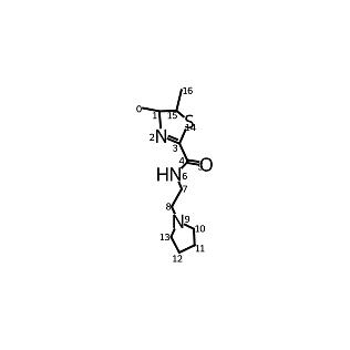 CC1N=C(C(=O)NCCN2CCCC2)SC1C